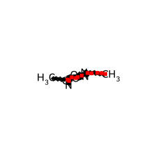 CCCCCCCCCc1cnc(-c2ccc(OC(=O)c3ccc(OCCCCCCC)c(C#N)c3)cc2)nc1